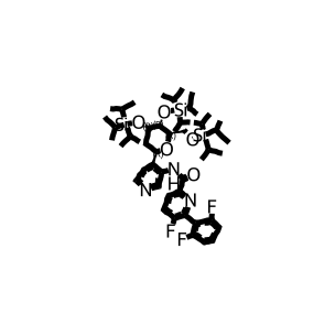 CC(C)[Si](OC[C@H]1O[C@@H](c2ccncc2NC(=O)c2ccc(F)c(-c3c(F)cccc3F)n2)C[C@@H](O[Si](C(C)C)(C(C)C)C(C)C)[C@@H]1O[Si](C(C)C)(C(C)C)C(C)C)(C(C)C)C(C)C